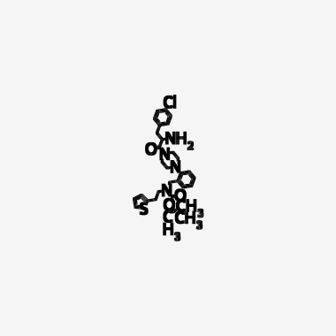 CC(C)(C)OC(=O)N(CCc1cccs1)Cc1ccccc1N1CCN(C(=O)C(N)Cc2ccc(Cl)cc2)CC1